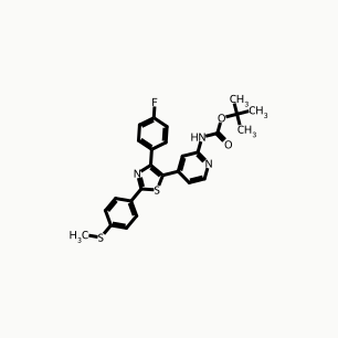 CSc1ccc(-c2nc(-c3ccc(F)cc3)c(-c3ccnc(NC(=O)OC(C)(C)C)c3)s2)cc1